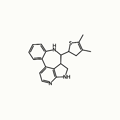 CC1=C(C)SC(C2Nc3ccccc3-c3ccnc4c3C2CN4)C1